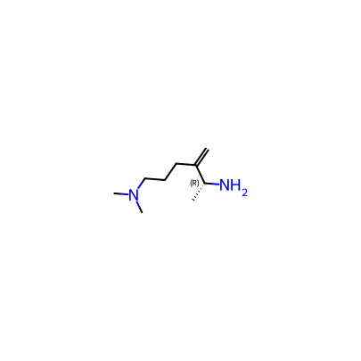 C=C(CCCN(C)C)[C@@H](C)N